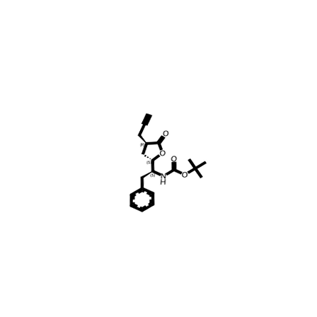 C#CC[C@@H]1C[C@@H]([C@H](Cc2ccccc2)NC(=O)OC(C)(C)C)OC1=O